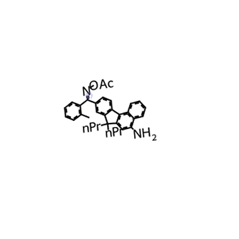 CCCC1(CCC)c2cc(/C(=N\OC(C)=O)c3ccccc3C)ccc2-c2c1cc(N)c1ccccc21